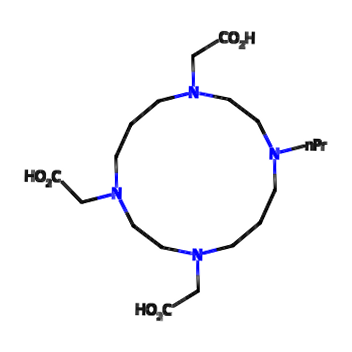 CCCN1CCCN(CC(=O)O)CCN(CC(=O)O)CCCN(CC(=O)O)CC1